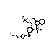 C[C@@H]1Cc2c([nH]c3ccccc23)[C@@H](c2ccc(NC3CN(CCCF)C3)cc2OC(F)F)N1CC(C)(C)F